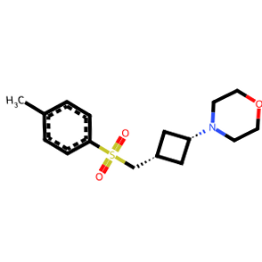 Cc1ccc(S(=O)(=O)C[C@H]2C[C@@H](N3CCOCC3)C2)cc1